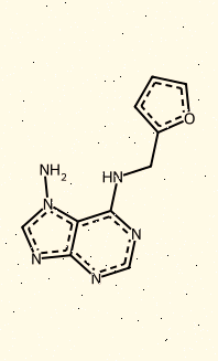 Nn1cnc2ncnc(NCc3ccco3)c21